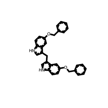 c1ccc(COc2ccc3[nH]cc(Cc4c[nH]c5ccc(OCc6ccccc6)cc45)c3c2)cc1